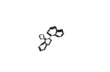 O=C1c2ccccc2CC[C@H]1c1cccc2ccccc12